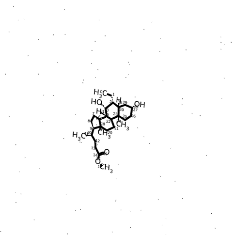 CC[C@H]1[C@@H](O)[C@H]2C3CC[C@H]([C@H](C)CCC(=O)OC)[C@@]3(C)CCC2[C@@]2(C)CC[C@@H](O)C[C@@H]12